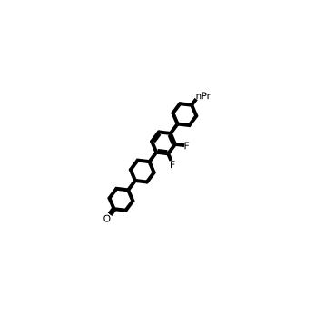 CCCC1CCC(c2ccc(C3CCC(C4CCC(=O)CC4)CC3)c(F)c2F)CC1